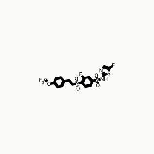 O=S(=O)(CCc1ccc(OC(F)(F)F)cc1)c1ccc(S(=O)(=O)Nc2ncc(F)s2)cc1F